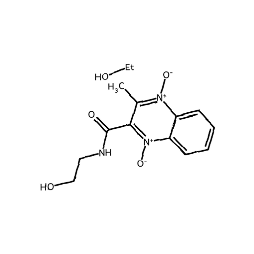 CCO.Cc1c(C(=O)NCCO)[n+]([O-])c2ccccc2[n+]1[O-]